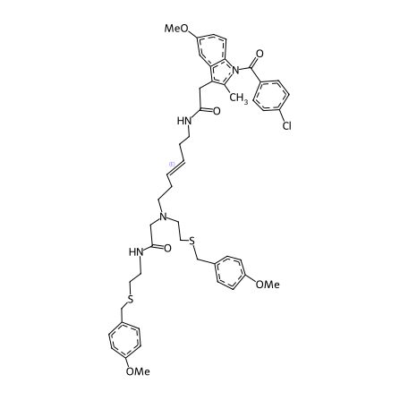 COc1ccc(CSCCNC(=O)CN(CC/C=C/CCNC(=O)Cc2c(C)n(C(=O)c3ccc(Cl)cc3)c3ccc(OC)cc23)CCSCc2ccc(OC)cc2)cc1